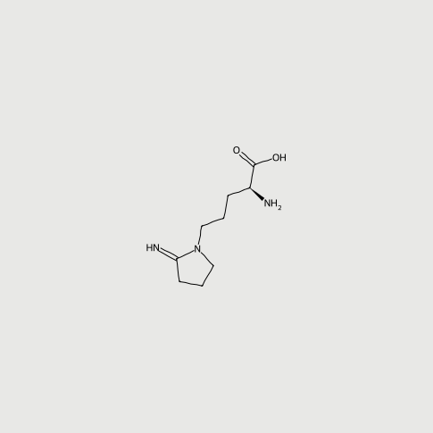 N=C1CCCN1CCC[C@H](N)C(=O)O